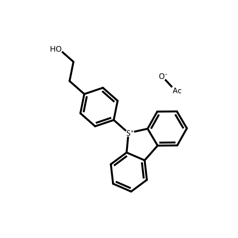 CC(=O)[O-].OCCc1ccc(-[s+]2c3ccccc3c3ccccc32)cc1